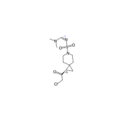 CN(C)/C=N\S(=O)(=O)N1CCC2(CC1)C[C@H]2C(=O)CCl